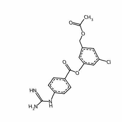 CC(=O)OCc1cc(Cl)cc(OC(=O)c2ccc(NC(=N)N)cc2)c1